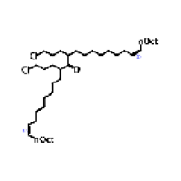 CCCCCCCC/C=C\CCCCCCCC(CCCCl)C(=O)C(CCCCl)CCCCCCC/C=C\CCCCCCCC